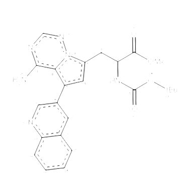 COC(=O)C(Cc1cc(-c2cnc3ccccc3c2)c2c(N)ncnn12)NC(=O)OC(C)(C)C